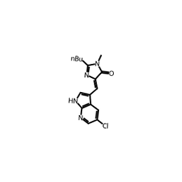 CCCCC1=N/C(=C\c2c[nH]c3ncc(Cl)cc23)C(=O)N1C